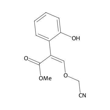 COC(=O)/C(=C\OCC#N)c1ccccc1O